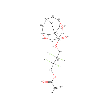 C=C(C)C(=O)OCC(F)(F)C(F)(F)COC(=O)C12CC3CC(C1)OCCCOC(C3)C2